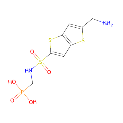 NCc1cc2sc(S(=O)(=O)NCP(=O)(O)O)cc2s1